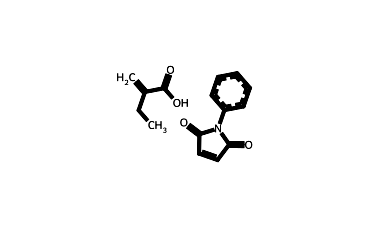 C=C(CC)C(=O)O.O=C1C=CC(=O)N1c1ccccc1